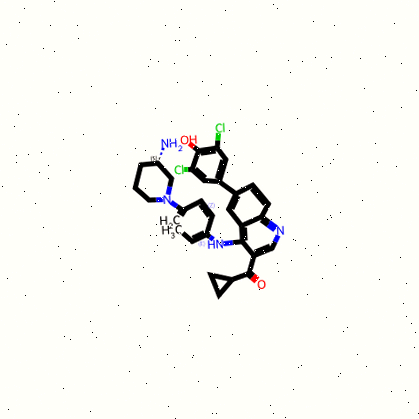 C=C(/C=C\C(=C/C)Nc1c(C(=O)C2CC2)cnc2ccc(-c3cc(Cl)c(O)c(Cl)c3)cc12)N1CCC[C@H](N)C1